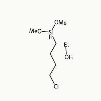 CCO.CO[SiH](CCCCCl)OC